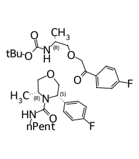 CCCCCNC(=O)N1[C@H](C)COC[C@@H]1c1ccc(F)cc1.C[C@H](COCC(=O)c1ccc(F)cc1)NC(=O)OC(C)(C)C